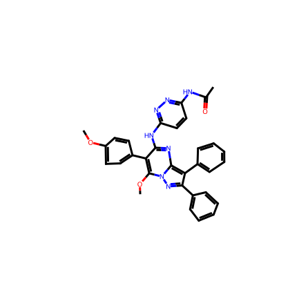 COc1ccc(-c2c(Nc3ccc(NC(C)=O)nn3)nc3c(-c4ccccc4)c(-c4ccccc4)nn3c2OC)cc1